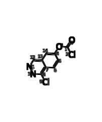 O=C(Cl)Oc1ccc2c(Cl)nncc2c1